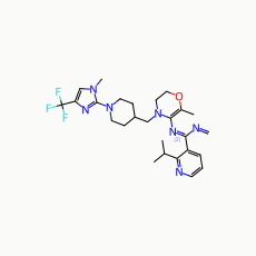 C=N/C(=N\C1=C(C)OCCN1CC1CCN(c2nc(C(F)(F)F)cn2C)CC1)c1cccnc1C(C)C